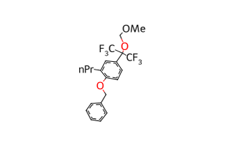 CCCc1cc(C(OCOC)(C(F)(F)F)C(F)(F)F)ccc1OCc1ccccc1